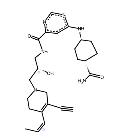 C#CC1=C(/C=C\C)CCN(C[C@@H](O)CNC(=O)c2cc(N[C@H]3CC[C@@H](C(N)=O)CC3)ncn2)C1